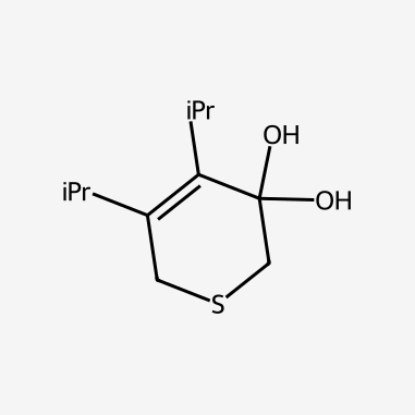 CC(C)C1=C(C(C)C)C(O)(O)CSC1